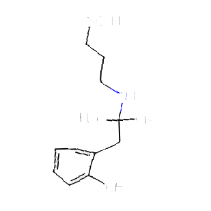 Cc1ccccc1CC(C)(C)NCCCS(=O)(=O)O